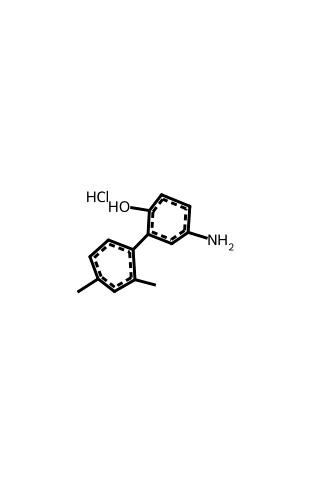 Cc1ccc(-c2cc(N)ccc2O)c(C)c1.Cl